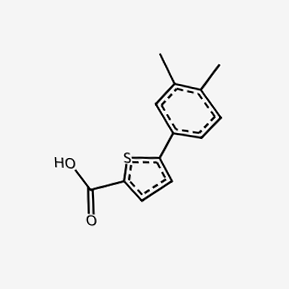 Cc1ccc(-c2ccc(C(=O)O)s2)cc1C